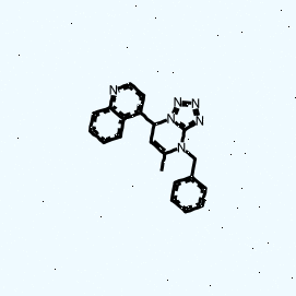 CC1=CC(c2ccnc3ccccc23)n2nnnc2N1Cc1ccccc1